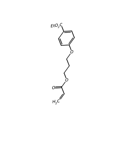 C=CC(=O)OCCCOc1ccc(C(=O)OCC)cc1